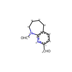 O=Cc1ccc2c(n1)N(C=O)CCCC2